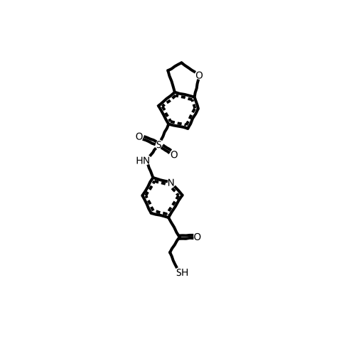 O=C(CS)c1ccc(NS(=O)(=O)c2ccc3c(c2)CCO3)nc1